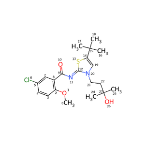 COc1ccc(Cl)cc1C(=O)/N=c1\sc(C(C)(C)C)cn1CCC(C)(C)O